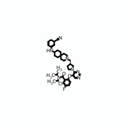 CC(C)N(C(=O)c1cc(F)ccc1Oc1cncnc1N1CC[C@@H](CN2CCC3(CCC(NC4=CC(C#N)CC=C4)CC3)CC2)C1)C(C)C